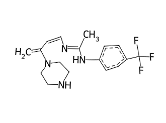 C=C(/C=C\N=C(/C)Nc1ccc(C(F)(F)F)cc1)N1CCNCC1